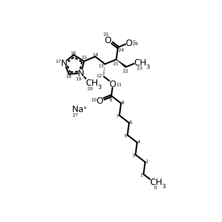 CCCCCCCCCC(=O)OC[C@H](Cc1cncn1C)[C@H](CC)C(=O)[O-].[Na+]